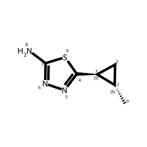 C[C@H]1C[C@@H]1c1nnc(N)s1